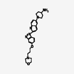 NC1CCN(c2ccc3nc(-n4cnc5cc(OCCCN6CCOCC6)ccc54)ccc3c2)CC1